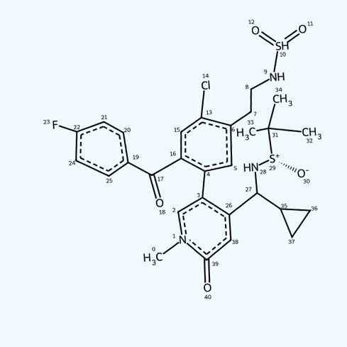 Cn1cc(-c2cc(CCN[SH](=O)=O)c(Cl)cc2C(=O)c2ccc(F)cc2)c(C(N[S@@+]([O-])C(C)(C)C)C2CC2)cc1=O